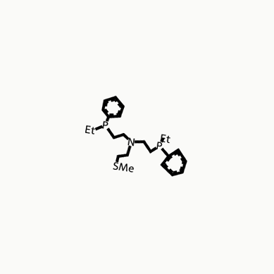 CCP(CCN(CCSC)CCP(CC)c1ccccc1)c1ccccc1